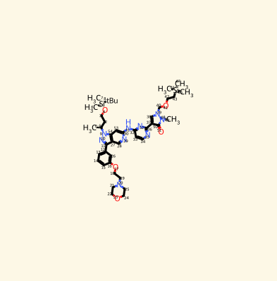 C[C@@H](CCO[Si](C)(C)C(C)(C)C)n1nc(-c2cccc(OCCN3CCOCC3)c2)c2cnc(Nc3ccnc(-c4cn(COCC[Si](C)(C)C)n(C)c4=O)n3)cc21